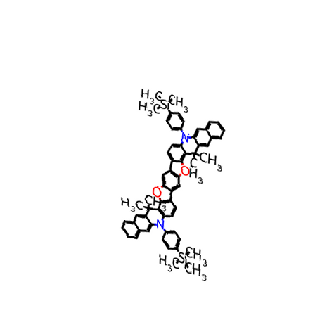 CC1(C)c2cc3ccccc3cc2N(c2ccc([Si](C)(C)C)cc2)c2ccc3c(oc4cc5c(cc43)oc3c4c(ccc35)N(c3ccc([Si](C)(C)C)cc3)c3cc5ccccc5cc3C4(C)C)c21